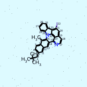 Cc1c2ccc(CC(C)(C)C)cc2cc2c3nccc4cc(I)c5c6ccccc6n(c12)c5c43